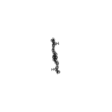 C=CC(=O)OCC(O)COCCCCOc1ccc(C(=O)O[C@H]2CO[C@H]3[C@@H]2OC[C@H]3OC(=O)c2ccc(OCCCCOCC(O)COC(=O)C=C)cc2)cc1